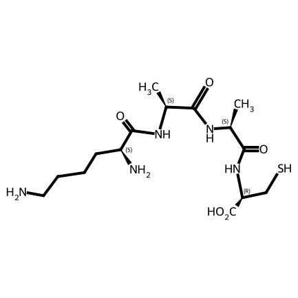 C[C@H](NC(=O)[C@H](C)NC(=O)[C@@H](N)CCCCN)C(=O)N[C@@H](CS)C(=O)O